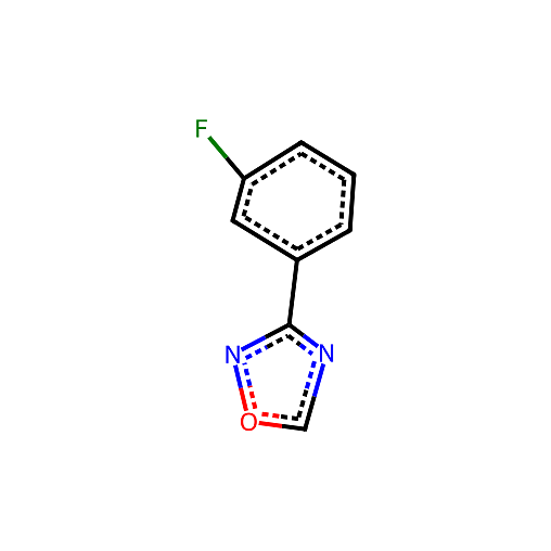 Fc1cccc(-c2ncon2)c1